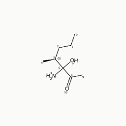 CCC[C@H](C)C(N)(O)C(C)=O